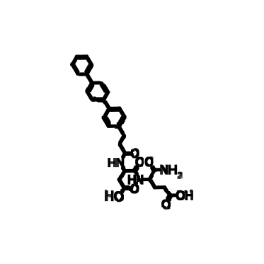 NC(=O)C(CCC(=O)O)NC(=O)C(CC(=O)O)NC(=O)CCc1ccc(-c2ccc(-c3ccccc3)cc2)cc1